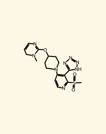 CN1CC=CN=C1OC1CCN(c2ccnc(S(C)(=O)=O)c2-c2nnn[nH]2)CC1